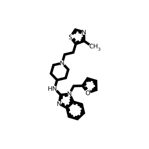 Cc1ncsc1CCN1CCC(Nc2nc3ccccc3n2Cc2ccco2)CC1